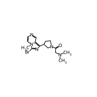 CN(C)CC(=O)N1CCC(C2=C3C=NC=C[N+]3(C)C(Br)=N2)C1